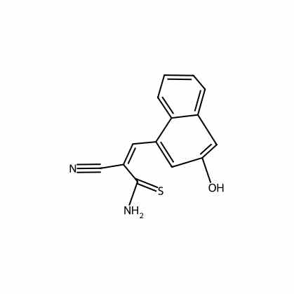 N#CC(=Cc1cc(O)cc2ccccc12)C(N)=S